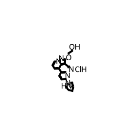 Cl.N#Cc1c(OCCO)nn2cccc(-c3ccc(N4CC5CC(C4)N5)nc3)c12